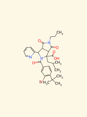 CCCN1C(=O)C2C(c3ccccn3)N(C(=O)c3ccc(C(C)(C)C)c(Br)c3)C(CC(C)C)(C(=O)O)C2C1=O